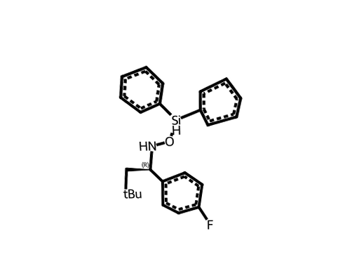 CC(C)(C)C[C@@H](NO[SiH](c1ccccc1)c1ccccc1)c1ccc(F)cc1